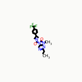 CCCc1ncc2c(n1)n(C)c(=O)n2C(=O)N1CC(c2ccc(C(F)(F)F)cc2)C1